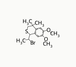 COc1cc2c(cc1OC)C(C)(C)CSC2C(C)Br